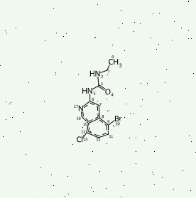 CCNC(=O)Nc1cc2c(Br)ccc(Cl)c2cn1